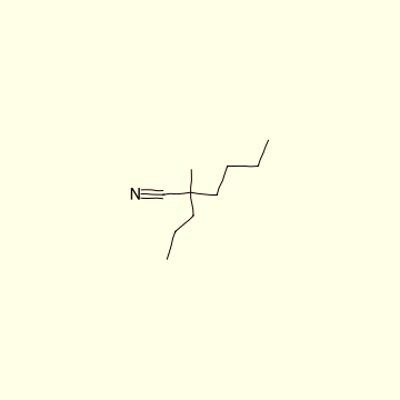 CCCCC(C)(C#N)CCC